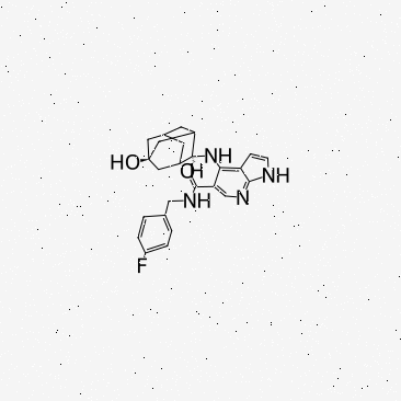 O=C(NCc1ccc(F)cc1)c1cnc2[nH]ccc2c1N[C@H]1C2CC3CC1C[C@@](O)(C3)C2